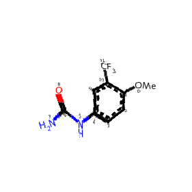 COc1ccc(NC(N)=O)cc1C(F)(F)F